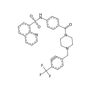 O=C(c1ccc(NS(=O)(=O)c2cccc3cccnc23)cc1)N1CCN(Cc2c#cc(C(F)(F)F)cc2)CC1